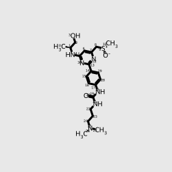 C[C@@H](CO)Nc1cc(C[S+](C)[O-])nc(-c2ccc(NC(=O)NCCCN(C)C)cc2)n1